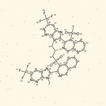 Cn1c(-c2ncc3ccccc3c2S(=O)(=O)CCCn2c(-c3ncc4ccccc4c3S(C)(=O)=O)nc3cc(C(F)(F)F)nnc32)nc2cc(C(F)(F)F)nnc21